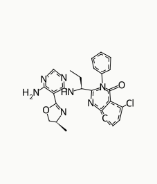 CC[C@H](Nc1ncnc(N)c1C1=N[C@@H](C)CO1)c1nc2cccc(Cl)c2c(=O)n1-c1ccccc1